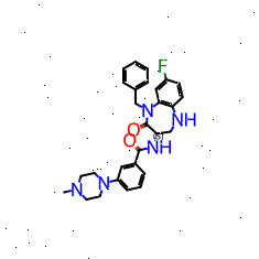 CN1CCN(c2cccc(C(=O)N[C@H]3CNc4ccc(F)cc4N(Cc4ccccc4)C3=O)c2)CC1